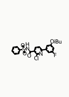 CC(C)COc1cc(F)cc(-c2ccc(C(=O)NS(=O)(=O)c3ccccc3)c(Cl)n2)c1